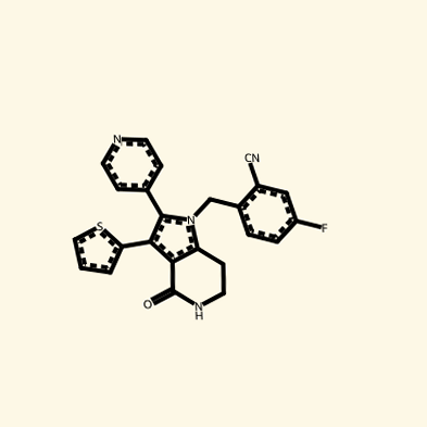 N#Cc1cc(F)ccc1Cn1c2c(c(-c3cccs3)c1-c1ccncc1)C(=O)NCC2